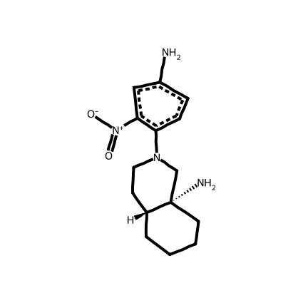 Nc1ccc(N2CC[C@H]3CCCC[C@]3(N)C2)c([N+](=O)[O-])c1